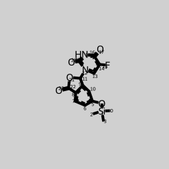 C[Si](C)(C)Oc1ccc2c(c1)C(n1cc(F)c(=O)[nH]c1=O)OC2=O